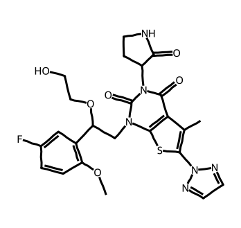 COc1ccc(F)cc1C(Cn1c(=O)n(C2CCNC2=O)c(=O)c2c(C)c(-n3nccn3)sc21)OCCO